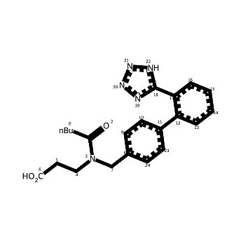 CCCCC(=O)N(CCC(=O)O)Cc1ccc(-c2ccccc2-c2nnn[nH]2)cc1